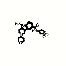 Cn1c2c(c3cc(C(=O)NC4CCS(=O)(=O)C4)ccc31)CN(C1CCOCC1)CC2